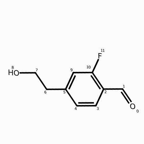 O=Cc1ccc(CCO)cc1F